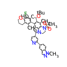 Cc1c(-c2c(C(OC(C)(C)C)C(=O)O)c(C)c3c4c2cc(-c2ccnc(-c5ccc6c(cnn6C)c5)c2)n4CCN3S(C)(=O)=O)cc(F)c2c1CCCO2